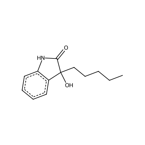 CCCCCC1(O)C(=O)Nc2ccccc21